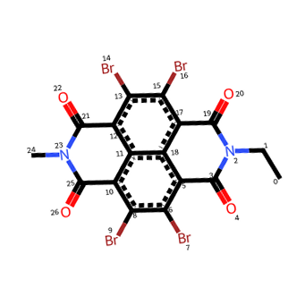 CCN1C(=O)c2c(Br)c(Br)c3c4c(c(Br)c(Br)c(c24)C1=O)C(=O)N(C)C3=O